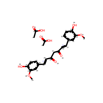 CC(=O)O.CC(=O)O.COc1cc(/C=C/C(=O)CC(=O)/C=C/c2ccc(O)c(OC)c2)ccc1O